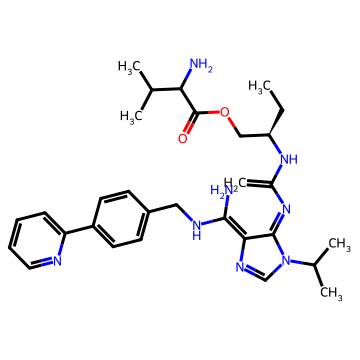 C=C(/N=C1\C(=C(/N)NCc2ccc(-c3ccccn3)cc2)N=CN1C(C)C)N[C@H](CC)COC(=O)C(N)C(C)C